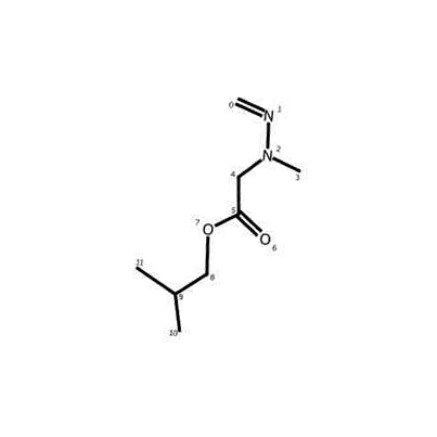 C=NN(C)CC(=O)OCC(C)C